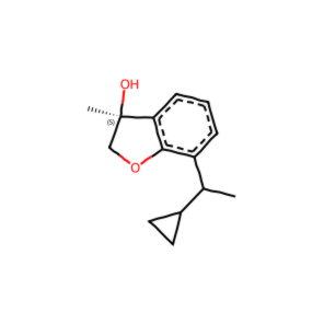 CC(c1cccc2c1OC[C@@]2(C)O)C1CC1